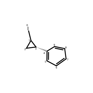 IC1C[C@H]1c1ccccc1